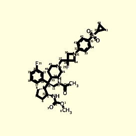 COC(=O)N[C@H]1CCC[C@@H]1[C@](CNC(C)=O)(c1cccc(F)c1)C1CCN(CC2(F)CN(c3ccc(S(=O)(=O)C4CC4)cc3)C2)CC1